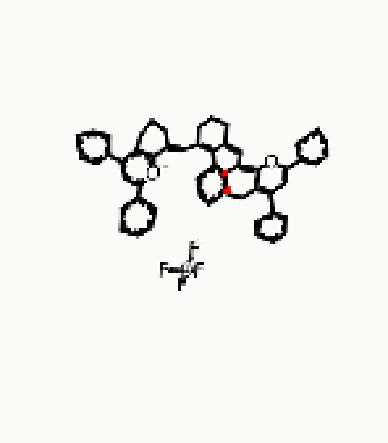 C1=C(c2ccccc2)OC2=C(/C=C3/CCCC(/C=C4\CCCc5c(-c6ccccc6)cc(-c6ccccc6)[o+]c54)=C3c3ccccc3)CCCC2=C1c1ccccc1.F[B-](F)(F)F